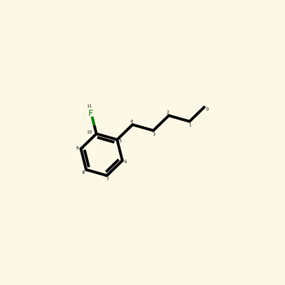 CCCCCc1ccc[c]c1F